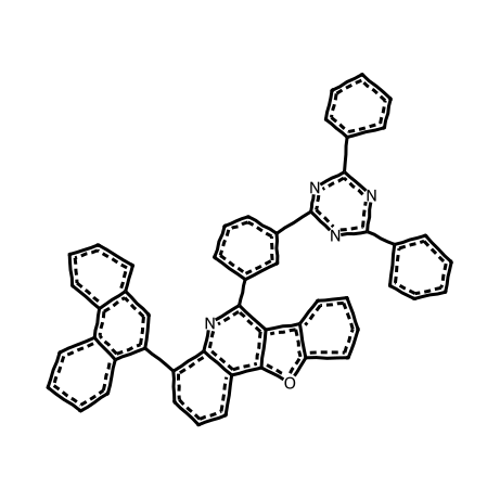 c1ccc(-c2nc(-c3ccccc3)nc(-c3cccc(-c4nc5c(-c6cc7ccccc7c7ccccc67)cccc5c5oc6ccccc6c45)c3)n2)cc1